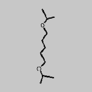 CC(C)OCCCCCOC(C)C